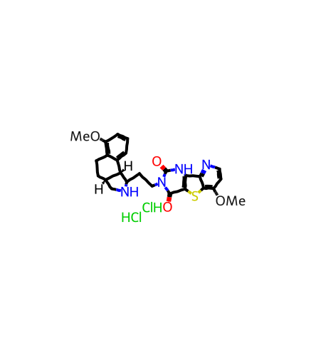 COc1cccc2c1CC[C@H]1CNC(CCn3c(=O)[nH]c4c(sc5c(OC)ccnc54)c3=O)[C@@H]21.Cl.Cl